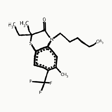 CCCCCN1C(=O)C(C)(CC)Sc2cc(C(F)(F)F)c(C)cc21